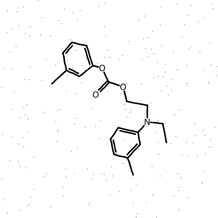 CCN(CCOC(=O)Oc1cccc(C)c1)c1cccc(C)c1